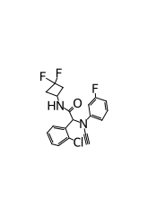 C#CN(c1cccc(F)c1)C(C(=O)NC1CC(F)(F)C1)c1ccccc1Cl